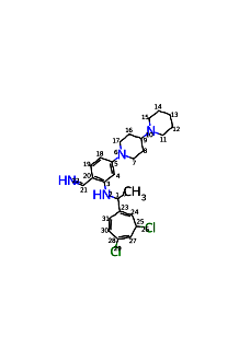 CC(Nc1cc(N2CCC(N3CCCCC3)CC2)ccc1C=N)C1=CC(Cl)C=C(Cl)C=C1